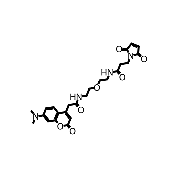 CN(C)c1ccc2c(CC(=O)NCCOCCNC(=O)CCN3C(=O)C=CC3=O)cc(=O)oc2c1